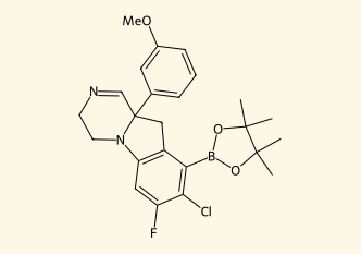 COc1cccc(C23C=NCCN2c2cc(F)c(Cl)c(B4OC(C)(C)C(C)(C)O4)c2C3)c1